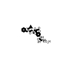 CC(C)[C@@H](NC(=O)O)C(=O)Nc1ccc2c(c1)OC(=O)CC21OCN(CC(=O)N(Cc2ccccc2)[C@@H](C)C2CC2)C1=O